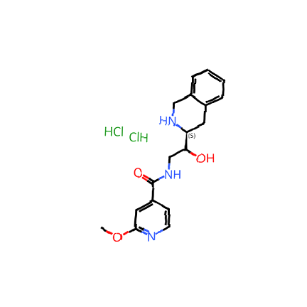 COc1cc(C(=O)NCC(O)[C@@H]2Cc3ccccc3CN2)ccn1.Cl.Cl